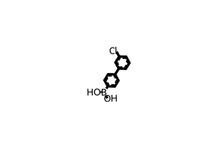 OB(O)c1ccc(-c2cccc(Cl)c2)cc1